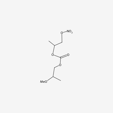 COC(C)COC(=O)OC(C)CO[N+](=O)[O-]